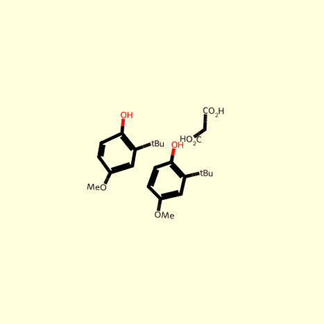 COc1ccc(O)c(C(C)(C)C)c1.COc1ccc(O)c(C(C)(C)C)c1.O=C(O)CC(=O)O